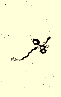 C=CCOc1c(-c2ccccc2)n(C=CCCCCCCCCCCCCCCCC)c2ccccc2c1=O